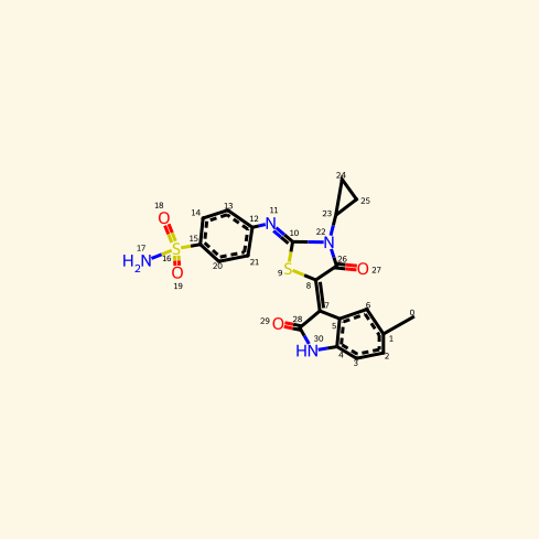 Cc1ccc2c(c1)/C(=C1/S/C(=N\c3ccc(S(N)(=O)=O)cc3)N(C3CC3)C1=O)C(=O)N2